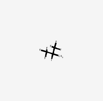 CC(I)(C(F)(F)F)C(F)(F)F